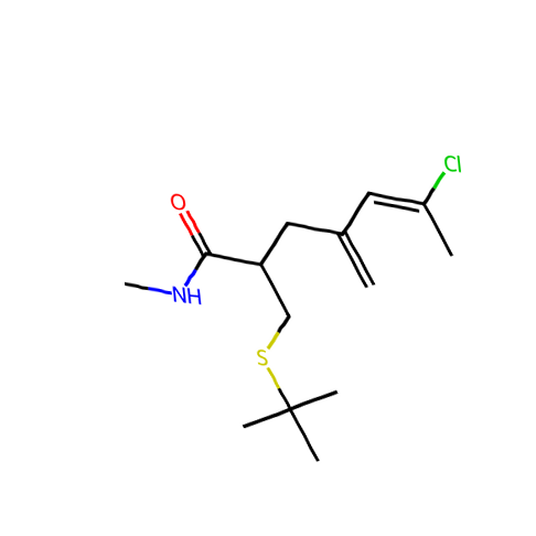 C=C(/C=C(\C)Cl)CC(CSC(C)(C)C)C(=O)NC